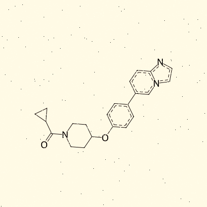 O=C(C1CC1)N1CCC(Oc2ccc(-c3ccc4nccn4c3)cc2)CC1